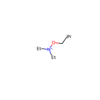 CC[N+](CC)OCC(C)C